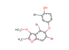 Cc1oc2cc(Br)c(Oc3ccc(O)c(C(C)C)c3)c(Br)c2c1OC(=O)O